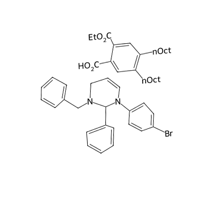 Brc1ccc(N2C=CCN(Cc3ccccc3)C2c2ccccc2)cc1.CCCCCCCCc1cc(C(=O)O)c(C(=O)OCC)cc1CCCCCCCC